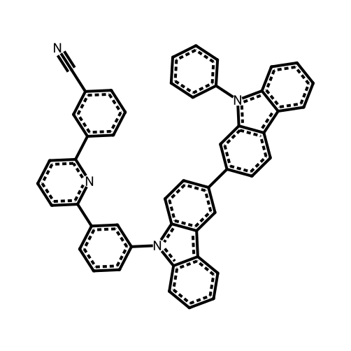 N#Cc1cccc(-c2cccc(-c3cccc(-n4c5ccccc5c5cc(-c6ccc7c8ccccc8n(-c8ccccc8)c7c6)ccc54)c3)n2)c1